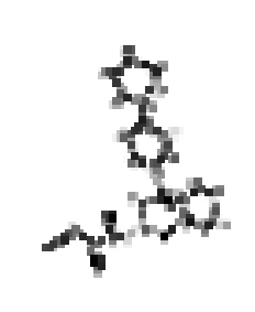 C=CC(=O)NCC1Cc2ccccc2N(c2ccc(-c3ccccc3)cc2)C1